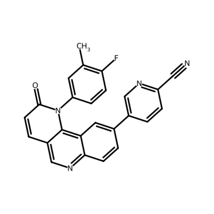 Cc1cc(-n2c(=O)ccc3cnc4ccc(-c5ccc(C#N)nc5)cc4c32)ccc1F